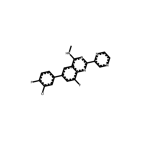 CNc1nc(-c2cnccn2)nc2c(F)cc(-c3ccc(F)c(Cl)c3)cc12